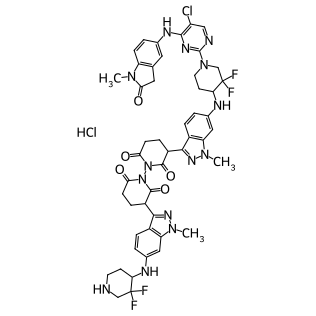 CN1C(=O)Cc2cc(Nc3nc(N4CCC(Nc5ccc6c(C7CCC(=O)N(N8C(=O)CCC(c9nn(C)c%10cc(NC%11CCNCC%11(F)F)ccc9%10)C8=O)C7=O)nn(C)c6c5)C(F)(F)C4)ncc3Cl)ccc21.Cl